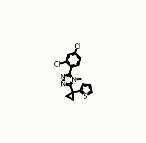 Cn1c(-c2ccc(Cl)cc2Cl)nnc1C1(c2cccs2)CC1